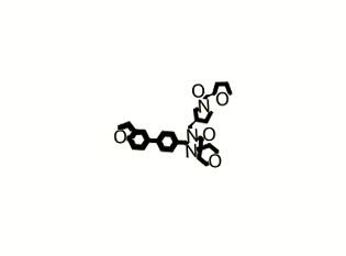 O=C([C@H]1CCCO1)N1CC[C@@H](CN2C(=O)C3(CCOCC3)N=C2c2ccc(-c3ccc4occc4c3)cc2)C1